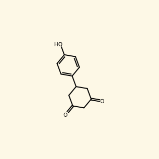 O=C1CC(=O)CC(c2ccc(O)cc2)C1